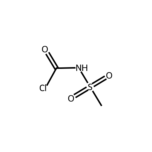 CS(=O)(=O)NC(=O)Cl